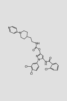 O=C(NCCC1CCN(c2ccncc2)CC1)Oc1cc(NC(=O)c2ccccc2Cl)n(-c2ccc(Cl)c(Cl)c2)n1